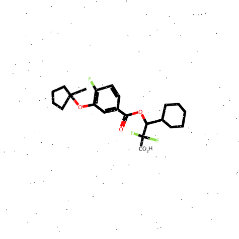 CC1(Oc2cc(C(=O)OC(C3CCCCC3)C(F)(F)C(=O)O)ccc2F)CCCC1